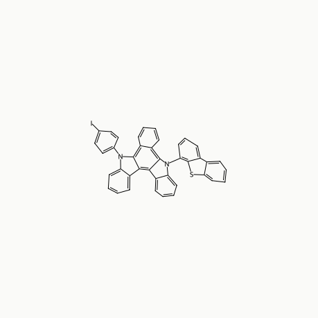 Ic1ccc(-n2c3ccccc3c3c4c5ccccc5n(-c5cccc6c5sc5ccccc56)c4c4ccccc4c32)cc1